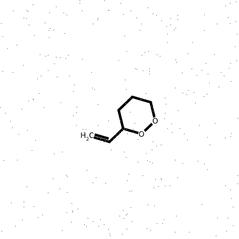 C=CC1CCCOO1